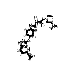 CCN(CCN(C)C)CC(=O)Nc1nc2ccc(Sc3nnc4ccc(C5CC5)nn34)cc2s1